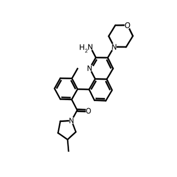 Cc1cccc(C(=O)N2CCC(C)C2)c1-c1cccc2cc(N3CCOCC3)c(N)nc12